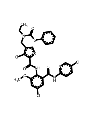 CCN(Cc1csc(C(=O)Nc2c(OC)cc(Cl)cc2C(=O)Nc2ccc(Cl)cn2)c1Cl)C(=O)Sc1ccccc1